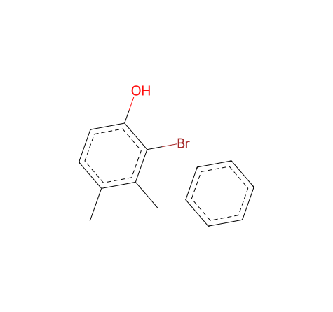 Cc1ccc(O)c(Br)c1C.c1ccccc1